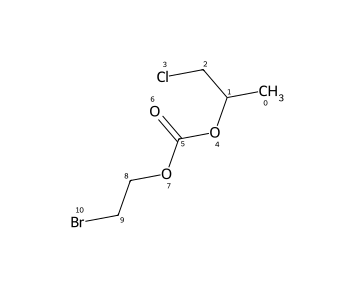 CC(CCl)OC(=O)OCCBr